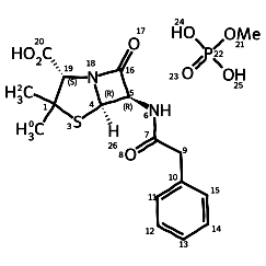 CC1(C)S[C@@H]2[C@H](NC(=O)Cc3ccccc3)C(=O)N2[C@H]1C(=O)O.COP(=O)(O)O